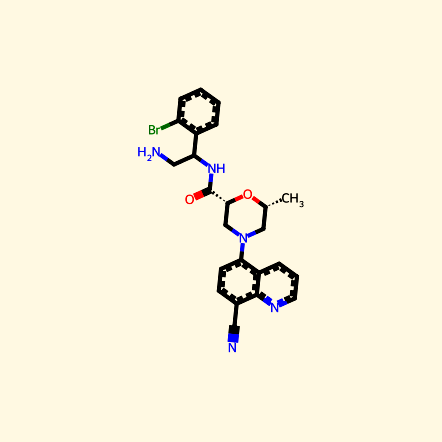 C[C@@H]1CN(c2ccc(C#N)c3ncccc23)C[C@H](C(=O)NC(CN)c2ccccc2Br)O1